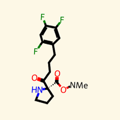 CNOC(=O)[C@]1(C(=O)CCCc2cc(F)c(F)cc2F)CCCN1